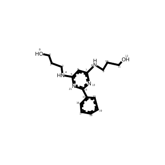 OCCCNc1cc(NCCCO)nc(-c2ccccc2)n1